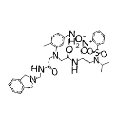 Cc1ccc(N)cc1N(CC(=O)NCCN(C(C)C)S(=O)(=O)c1ccccc1[N+](=O)[O-])CC(=O)NCN1Cc2ccccc2C1